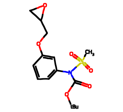 CC(C)(C)OC(=O)N(c1cccc(OCC2CO2)c1)S(C)(=O)=O